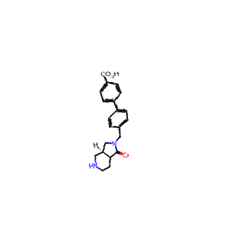 O=C(O)c1ccc(-c2ccc(CN3C[C@@H]4CNCCC4C3=O)cc2)cc1